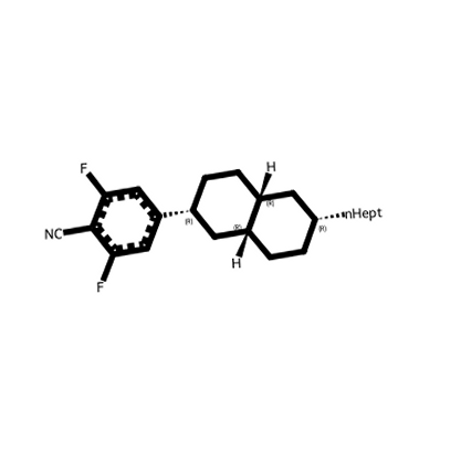 CCCCCCC[C@@H]1CC[C@@H]2C[C@H](c3cc(F)c(C#N)c(F)c3)CC[C@@H]2C1